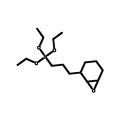 CCO[Si](CCCC1CCCC2OC12)(OCC)OCC